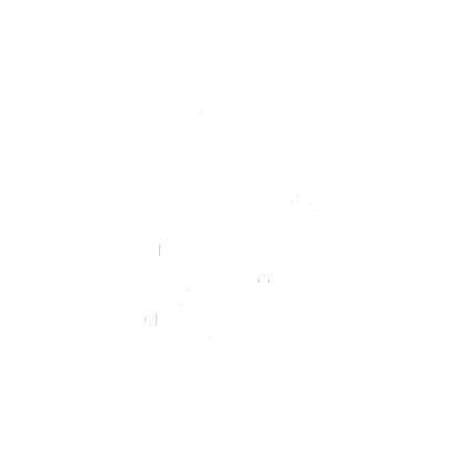 O=C(c1ccccc1Cl)C(Cl)(Cl)Cl